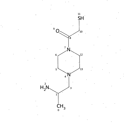 CC(N)CN1CCN(C(=O)CS)CC1